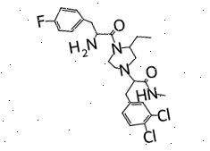 CCC1CN(C(Cc2ccc(Cl)c(Cl)c2)C(=O)NC)CCN1C(=O)C(N)Cc1ccc(F)cc1